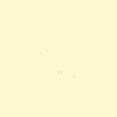 CC1(C)c2ccccc2Oc2ccc(-c3cccc4c3ccc3c5ccccc5n(-c5ccccc5)c43)cc21